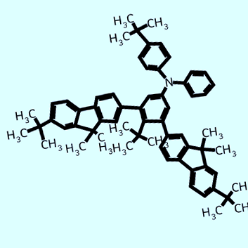 CC(C)(C)c1ccc(N(c2ccccc2)c2cc(-c3ccc4c(c3)C(C)(C)c3cc(C(C)(C)C)ccc3-4)c(C(C)(C)C)c(-c3ccc4c(c3)C(C)(C)c3cc(C(C)(C)C)ccc3-4)c2)cc1